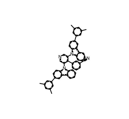 Cc1cc(C)cc(-c2ccc3c(c2)c2ccccc2n3-c2cncc(-n3c4ccccc4c4cc(-c5cc(C)cc(C)c5)ccc43)c2-c2cccc(C#N)c2)c1